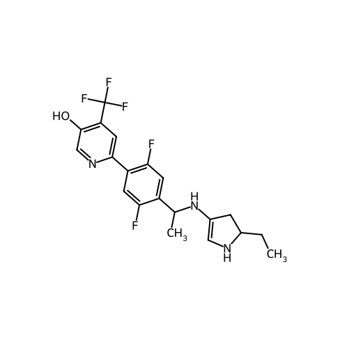 CCC1CC(NC(C)c2cc(F)c(-c3cc(C(F)(F)F)c(O)cn3)cc2F)=CN1